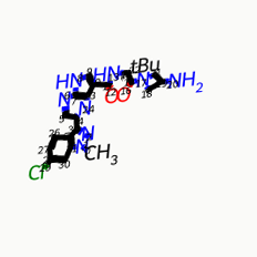 Cn1nc(-c2cnc3[nH]cc(C(=O)N[C@@H](C(=O)N4CC(N)C4)C(C)(C)C)c3n2)c2ccc(Cl)cc21